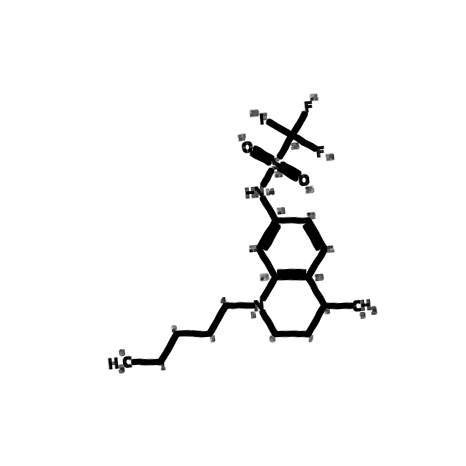 CCCCCN1CCC(C)c2ccc(NS(=O)(=O)C(F)(F)F)cc21